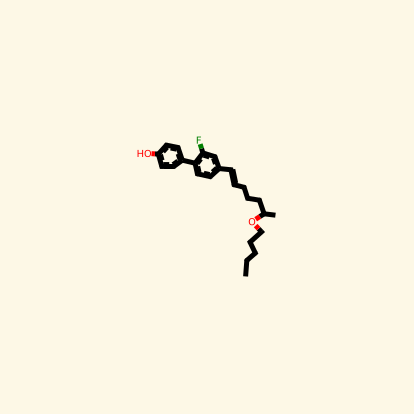 CCCCCOC(C)CCC/C=C/c1ccc(-c2ccc(O)cc2)c(F)c1